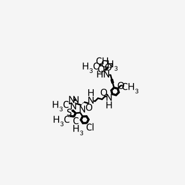 COc1ccc(NC(=O)CCCNC(=O)C[C@@H]2N=C(c3ccc(Cl)cc3)c3c(sc(C)c3C)-n3c(C)nnc32)cc1C#CCNC(=O)OC(C)(C)C